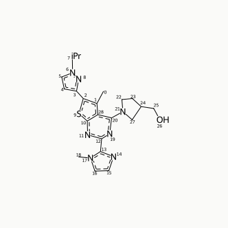 Cc1c(-c2ccn(C(C)C)n2)sc2nc(-c3nccn3C)nc(N3CCC(CO)C3)c12